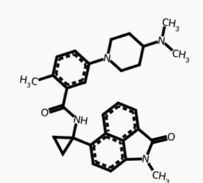 Cc1ccc(N2CCC(N(C)C)CC2)cc1C(=O)NC1(c2ccc3c4c(cccc24)C(=O)N3C)CC1